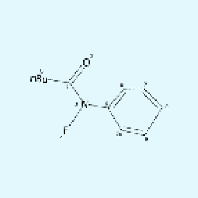 CCCCC(=O)N(F)c1cc[c]cc1